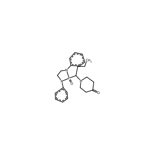 CCCC(N1CCC(=O)CC1)P1(=O)N(c2ccccc2)CCN1c1ccccc1